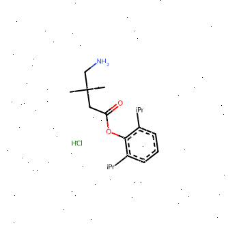 CC(C)c1cccc(C(C)C)c1OC(=O)CC(C)(C)CN.Cl